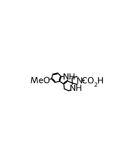 COc1ccc2[nH]c3c(c2c1)CCNC31CCN(C(=O)O)C1